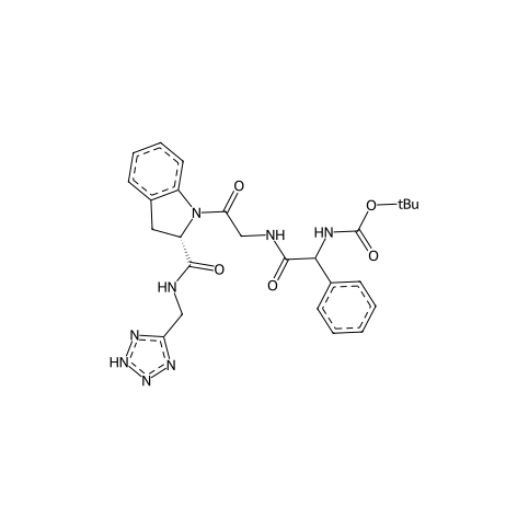 CC(C)(C)OC(=O)NC(C(=O)NCC(=O)N1c2ccccc2C[C@H]1C(=O)NCc1nn[nH]n1)c1ccccc1